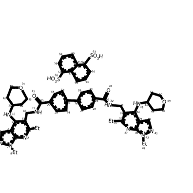 CCc1nc2c(cnn2CC)c(NC2CCOCC2)c1CNC(=O)c1ccc(-c2ccc(C(=O)NCc3c(CC)nc4c(cnn4CC)c3NC3CCOCC3)cc2)cc1.O=S(=O)(O)c1cccc2c(S(=O)(=O)O)cccc12